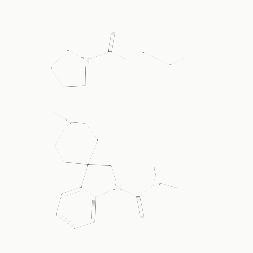 CCCOC(=O)N1CC[C@@H](CN2CCC3(CC2)CN(C(=O)N(C)C)c2ccccc23)C1